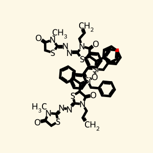 C=CCN1C(=O)C(C(c2ccccc2)[Si](Cc2ccccc2)(Cc2ccccc2)O[Si](Cc2ccccc2)(Cc2ccccc2)C(c2ccccc2)C2SC(=NN=C3SCC(=O)N3C)N(CC=C)C2=O)SC1=NN=C1SCC(=O)N1C